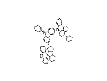 C1=C(c2ccc3c(c2)c2cc(N(c4ccc(-c5ccccc5)cc4)c4ccccc4-c4ccccc4)ccc2n3-c2ccccc2)CCC2=C1C1(c3ccccc3Oc3ccccc31)c1ccccc12